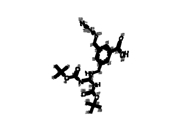 CC(C)(C)OC(=O)/N=C(\NCc1cc(CN=[N+]=[N-])cc(C(=O)O)c1)NC(=O)OC(C)(C)C